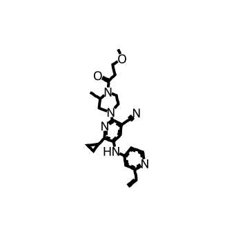 C=Cc1cc(Nc2cc(C#N)c(N3CCN(C(=O)CCOC)C(C)C3)nc2C2CC2)ccn1